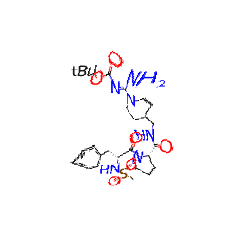 CC(C)(C)OC(=O)N=C(N)N1CCC(CNC(=O)[C@@H]2CCCN2C(=O)[C@@H](Cc2ccccc2)NS(C)(=O)=O)CC1